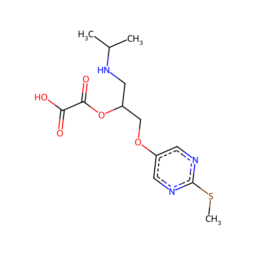 CSc1ncc(OCC(CNC(C)C)OC(=O)C(=O)O)cn1